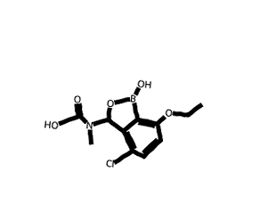 CCOc1ccc(Cl)c2c1B(O)OC2N(C)C(=O)O